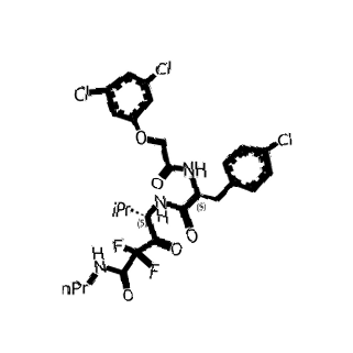 CCCNC(=O)C(F)(F)C(=O)[C@@H](NC(=O)[C@H](Cc1ccc(Cl)cc1)NC(=O)COc1cc(Cl)cc(Cl)c1)C(C)C